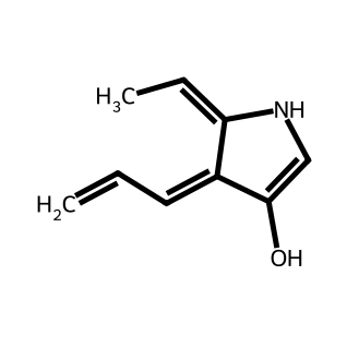 C=C/C=c1/c(O)c[nH]/c1=C/C